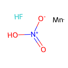 F.O=[N+]([O-])O.[Mn]